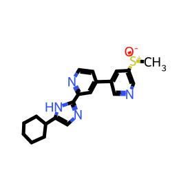 C[S+]([O-])c1cncc(-c2ccnc(-c3ncc(C4CCCCC4)[nH]3)c2)c1